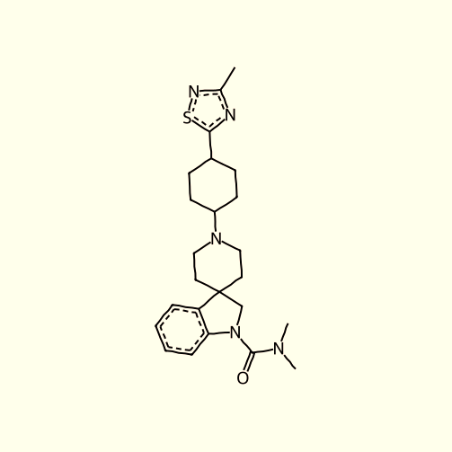 Cc1nsc(C2CCC(N3CCC4(CC3)CN(C(=O)N(C)C)c3ccccc34)CC2)n1